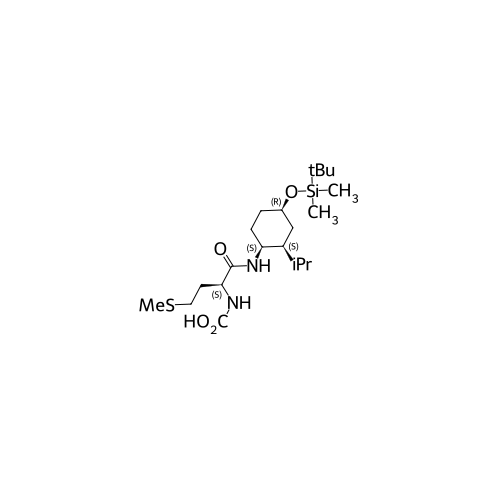 CSCC[C@H](NC(=O)O)C(=O)N[C@H]1CC[C@@H](O[Si](C)(C)C(C)(C)C)C[C@H]1C(C)C